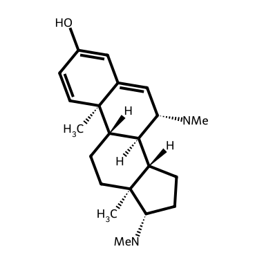 CN[C@H]1C=C2C=C(O)C=C[C@]2(C)[C@H]2CC[C@]3(C)[C@@H](NC)CC[C@H]3[C@H]12